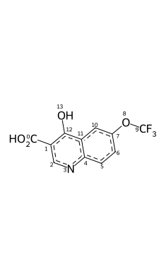 O=C(O)c1cnc2ccc(OC(F)(F)F)cc2c1O